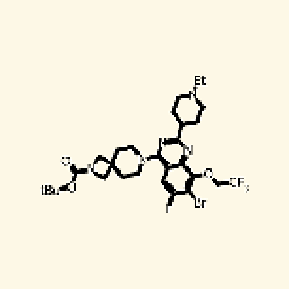 CCN1CCC(c2nc(N3CCC4(CC3)CN(C(=O)OC(C)(C)C)C4)c3cc(I)c(Br)c(OCC(F)(F)F)c3n2)CC1